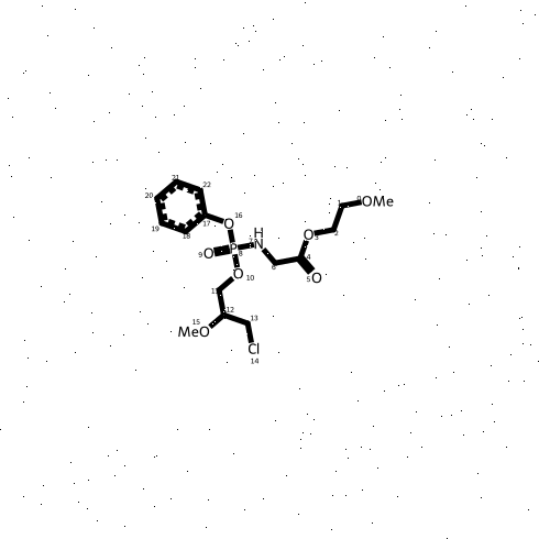 COCCOC(=O)CNP(=O)(OCC(CCl)OC)Oc1ccccc1